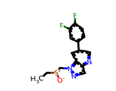 CC[S+]([O-])Cn1ncc2ncc(-c3ccc(F)c(F)c3)cc21